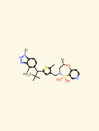 CC[C@@H]1CN(Cc2cc(C(c3ccc4c(nnn4CC)c3C)C(C)(C)C(=O)O)sc2C)S(O)(O)c2cnccc2O1